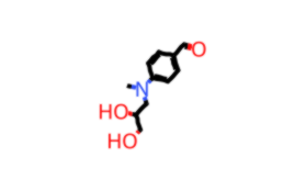 CN(CC(O)CO)c1ccc(C=O)cc1